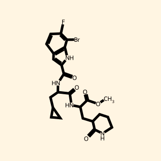 COC(=O)C(CC1CCCNC1=O)NC(=O)C(CC1CC1)NC(=O)c1cc2ccc(F)c(Br)c2[nH]1